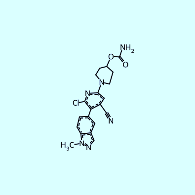 Cn1ncc2cc(-c3c(C#N)cc(N4CCC(OC(N)=O)CC4)nc3Cl)ccc21